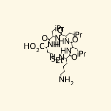 CCSCCC(NC(=O)C(CC(C)C)NC(=O)C(CC(C)C)NC(=O)C(CC(C)C)NC(=O)C(N)CCCCN)C(=O)O